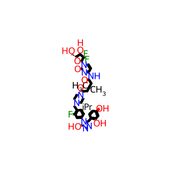 CC(C)c1cc(-c2nnc(O)n2-c2ccc(CN3CCN(C(=O)CC(C)(C)CC(=O)Nc4ccn([C@@H]5O[C@H](CO)[C@@H](O)C5(F)F)c(=O)n4)CC3)c(F)c2)c(O)cc1O